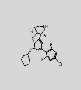 Fc1cc(Cl)cc(F)c1-c1cc(OC2CCCCC2)c2c(c1)[C@@H]1CNCC[C@@H]1O2